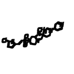 CN1C2CN(S(=O)(=O)C=Cc3ccc(Cl)s3)CCN2CC12CCN(c1ccncc1)CC2